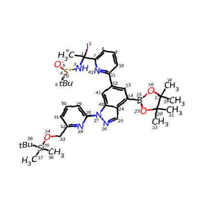 CC(I)(N[S@+]([O-])C(C)(C)C)c1cccc(-c2cc(B3OC(C)(C)C(C)(C)O3)c3cnn(-c4cccc(CO[Si](C)(C)C(C)(C)C)n4)c3c2)n1